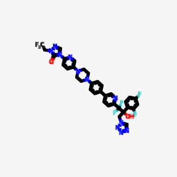 O=c1n(-c2ccc(N3CCN(c4ccc(-c5ccc(C(F)(F)C(O)(Cn6cnnn6)c6ccc(F)cc6F)nc5)cc4)CC3)cn2)cnn1CC(F)(F)F